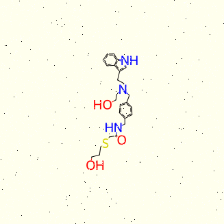 O=C(CSCCCO)NCc1ccc(CN(CCO)CCc2c[nH]c3ccccc23)cc1